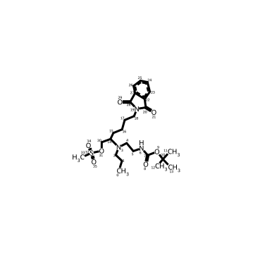 CCCN(CCNC(=O)OC(C)(C)C)C(CCCCN1C(=O)c2ccccc2C1=O)COS(C)(=O)=O